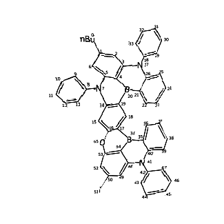 CCCCc1cc2c3c(c1)N(c1ccccc1)c1cc4c(cc1B3c1ccccc1N2c1ccccc1)B1c2ccccc2N(c2ccccc2)c2cc(I)cc(c21)O4